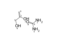 C=C(O)CO.NC(N)=O